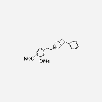 COc1ccc(CCN2CC3CC(c4ccccc4)C3C2)cc1OC